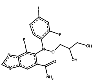 NC(=O)c1cc2scnc2c(F)c1N(OCC(O)CO)c1ccc(I)cc1F